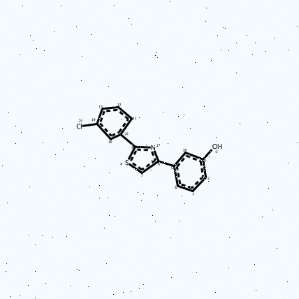 Oc1cc[c]c(-c2csc(-c3cccc(Cl)c3)n2)c1